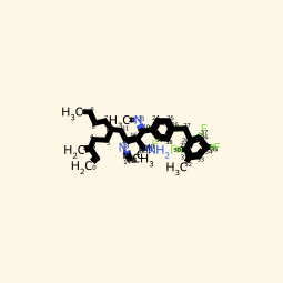 C=CC(=C)CCC(CCCC)CC(/N=C\C)=C(C(=C)N)\C(=N/C)c1ccc(Cc2c(F)c(C)cc(F)c2F)cc1F